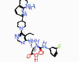 CCc1c(NC[C@H](NC(=O)Nc2cccc(F)c2)C(=O)O)ncnc1N1CCC(c2ccc3c(n2)NCCC3)CC1